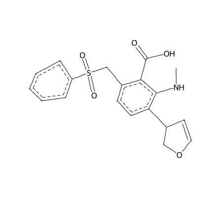 CNc1c(C2C=COC2)ccc(CS(=O)(=O)c2ccccc2)c1C(=O)O